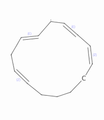 [CH]1/C=C/C=C\CCCC/C=C\C/C=C/1